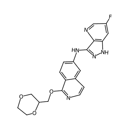 Fc1cnc2c(Nc3ccc4c(OCC5COCCO5)nccc4c3)n[nH]c2c1